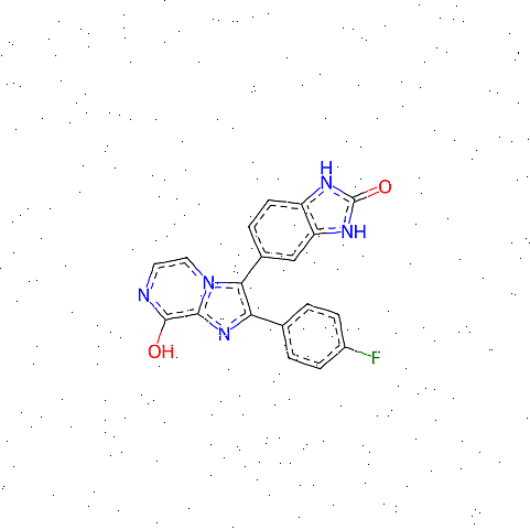 O=c1[nH]c2ccc(-c3c(-c4ccc(F)cc4)nc4c(O)nccn34)cc2[nH]1